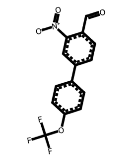 O=Cc1ccc(-c2ccc(OC(F)(F)F)cc2)cc1[N+](=O)[O-]